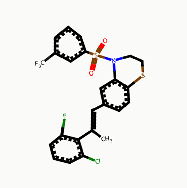 C/C(=C\c1ccc2c(c1)N(S(=O)(=O)c1cccc(C(F)(F)F)c1)CCS2)c1c(F)cccc1Cl